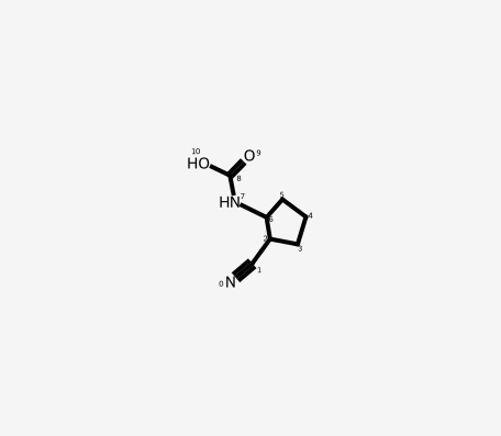 N#CC1CCCC1NC(=O)O